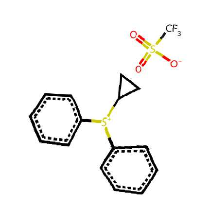 O=S(=O)([O-])C(F)(F)F.c1ccc([S+](c2ccccc2)C2CC2)cc1